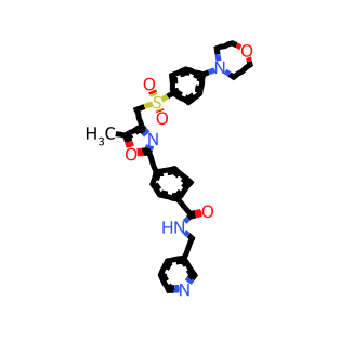 Cc1oc(-c2ccc(C(=O)NCc3cccnc3)cc2)nc1CS(=O)(=O)c1ccc(N2CCOCC2)cc1